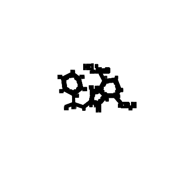 COc1ccc(C(=O)O)c2[nH]c(CC(C)c3ccccc3)nc12.Cl